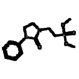 COP(=O)(CCN1CCN(c2ccccc2)C1=O)OC